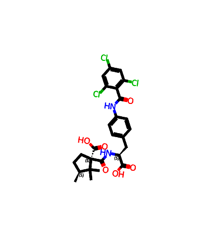 C[C@H]1CC[C@@](C(=O)O)(C(=O)N[C@@H](Cc2ccc(NC(=O)c3c(Cl)cc(Cl)cc3Cl)cc2)C(=O)O)C1(C)C